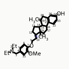 CCN(CC)Cc1ccc(OC/C=C2\CCC3C4C(CCC23C)c2ccc(O)cc2C[C@H]4C)c(OC)c1